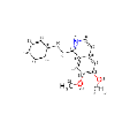 COc1cc2ccnc(CCC3C=CCCC3)c2cc1OC